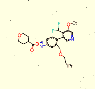 CCOc1cncc(-c2ccc(NOC(=O)C3CCOCC3)cc2COCCC(C)C)c1C(F)F